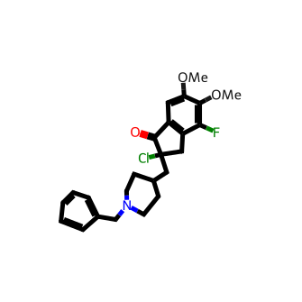 COc1cc2c(c(F)c1OC)CC(Cl)(CC1CCN(Cc3ccccc3)CC1)C2=O